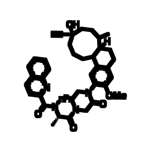 C#C[C@@]1(O)CCCC2c3cc(N4CCN(C(=O)[C@H](C)N(CCC)C(=O)c5ccc6ccccc6n5)CC4=O)c(OC)cc3CC[C@H]2C(C)CC1